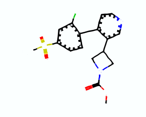 CC(C)(C)OC(=O)N1CC(c2cnccc2-c2ccc(S(C)(=O)=O)cc2Cl)C1